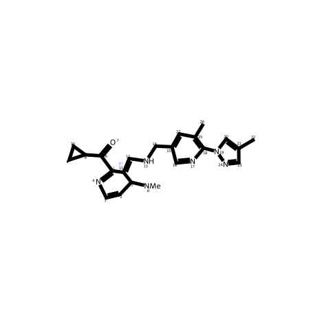 CNC1C=CN=C(C(=O)C2CC2)/C1=C/NCc1cnc(-n2cc(C)cn2)c(C)c1